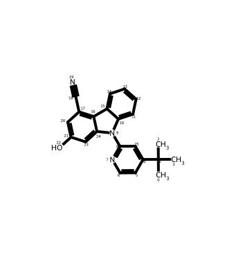 CC(C)(C)c1ccnc(-n2c3ccccc3c3c(C#N)cc(O)cc32)c1